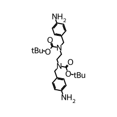 CC(C)(C)OC(=O)N(CCN(Cc1ccc(N)cc1)C(=O)OC(C)(C)C)Cc1ccc(N)cc1